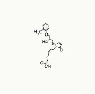 Cc1ccccc1OCC(O)CSC1C=CC(=O)C1C/C=C\CCCC(=O)O